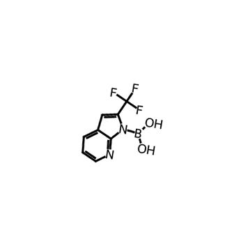 OB(O)n1c(C(F)(F)F)cc2cccnc21